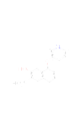 O=C(O)c1cc2cccc(Oc3cccnc3)c2cc1O